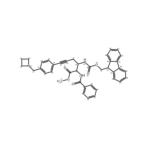 COC(=O)C(NC(=O)c1ccccc1)C(CC#Cc1ccc(CN2CCC2)cc1)NC(=O)OCC1c2ccccc2-c2ccccc21